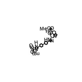 COC(=O)N[C@H]1CCc2ccn3c2C1C(=O)C[C@H](c1ncc(-c2ccc(-c4ccc(-c5cnc([C@@H]6COCCN6C(=O)OC(C)(C)C)[nH]5)cc4)cc2)[nH]1)C3